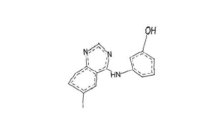 Cc1ccc2ncnc(Nc3cccc(O)c3)c2c1